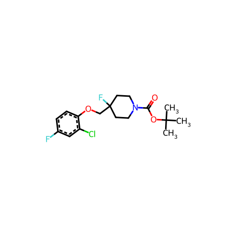 CC(C)(C)OC(=O)N1CCC(F)(COc2ccc(F)cc2Cl)CC1